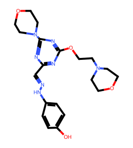 Oc1ccc(NN=Cc2nc(OCCN3CCOCC3)nc(N3CCOCC3)n2)cc1